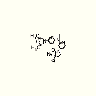 C[C@@H]1CN(c2ccc(Nc3cc(N4CC[C@@](C#N)(C5CC5)C4=O)ccn3)nc2)C[C@H](C)O1